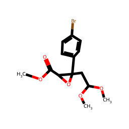 COC(=O)C1OC1(CC(OC)OC)c1ccc(Br)cc1